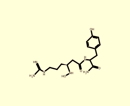 N=C(N)NCCC[C@@H](CC(=O)NC(Cc1ccc(O)cc1)C(N)=O)NO